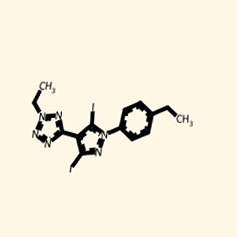 CCc1ccc(-n2nc(I)c(-c3nnn(CC)n3)c2I)cc1